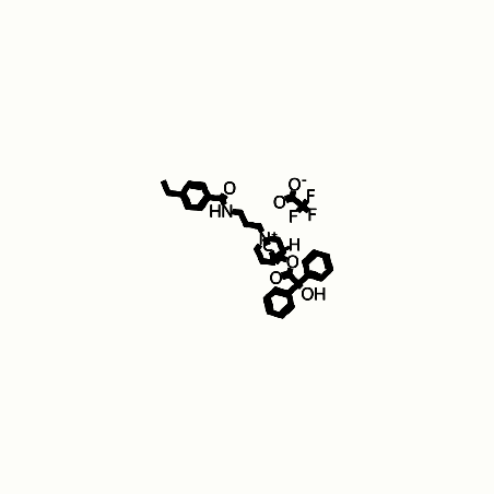 CCc1ccc(C(=O)NCCC[N+]23CCC(CC2)[C@@H](OC(=O)C(O)(c2ccccc2)c2ccccc2)C3)cc1.O=C([O-])C(F)(F)F